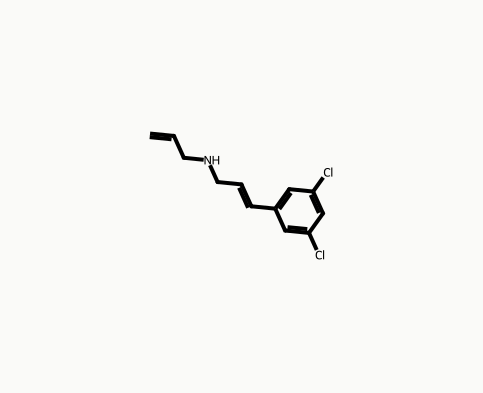 C=CCNC/C=C/c1cc(Cl)cc(Cl)c1